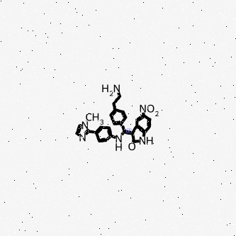 Cn1ccnc1-c1ccc(N/C(=C2\C(=O)Nc3ccc([N+](=O)[O-])cc32)c2ccc(CCN)cc2)cc1